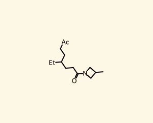 CCC(CCC(C)=O)CCC(=O)N1CC(C)C1